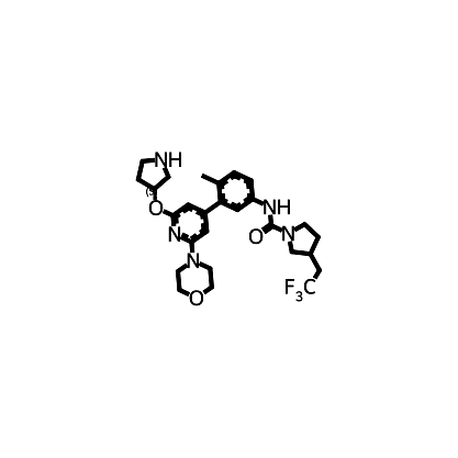 Cc1ccc(NC(=O)N2CCC(CC(F)(F)F)C2)cc1-c1cc(O[C@H]2CCNC2)nc(N2CCOCC2)c1